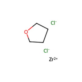 C1CCOC1.[Cl-].[Cl-].[Zr+2]